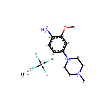 COc1cc(N2CCN(C)CC2)ccc1N.F[B-](F)(F)F.[H+].[H+]